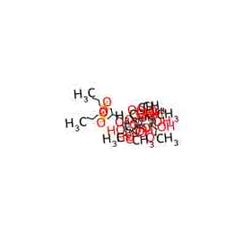 CCCCS(=O)(=O)CC(CO[C@H]1O[C@H](C(O)C(C)=O)[C@@](O)([C@@H]2O[C@H](C(O)C(C)=O)[C@@](O)(C(C)=O)[C@@](O)(C(C)=O)[C@]2(O)C(C)=O)[C@@](O)(C(C)=O)[C@]1(O)C(C)=O)CS(=O)(=O)CCCC